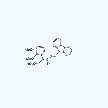 COc1cccc(N(CC(=O)O)C(=O)OCC2c3ccccc3-c3ccccc32)c1OC